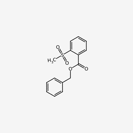 CS(=O)(=O)c1ccccc1C(=O)OCc1ccccc1